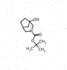 CC(C)(C)OC(=O)N1CC2CCC(O)(C2)C1